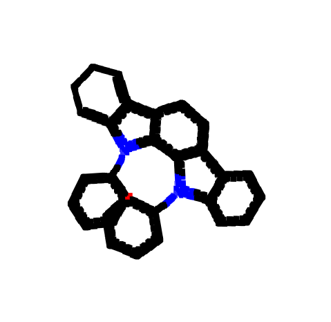 C1=c2c(n(-c3ccccc3)c3c2ccc2c4ccccc4n(-c4ccccc4)c23)=CCC1